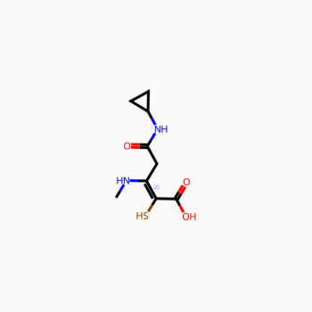 CN/C(CC(=O)NC1CC1)=C(\S)C(=O)O